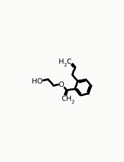 C=CCc1ccccc1C(=C)OCCO